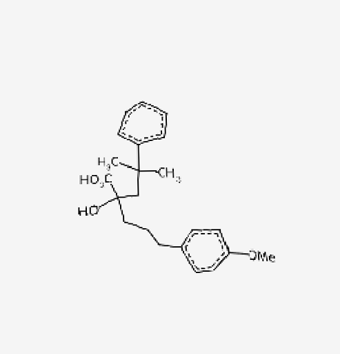 COc1ccc(CCCC(O)(CC(C)(C)c2ccccc2)C(=O)O)cc1